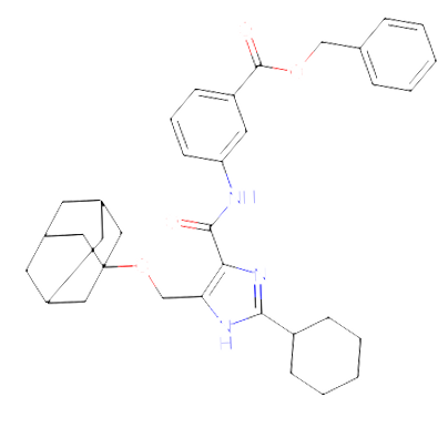 O=C(OCc1ccccc1)c1cccc(NC(=O)c2nc(C3CCCCC3)[nH]c2COC23CC4CC(CC(C4)C2)C3)c1